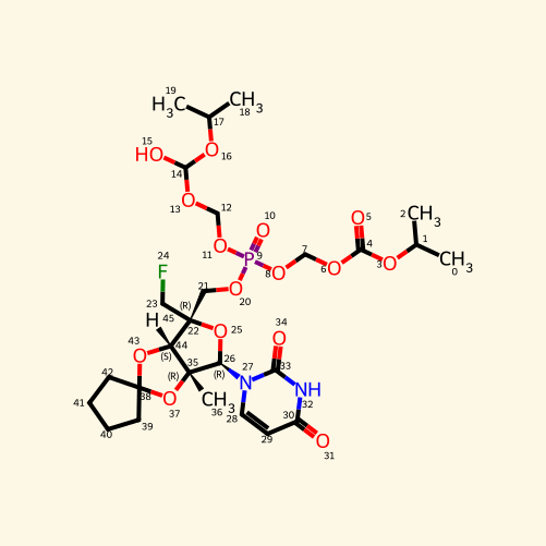 CC(C)OC(=O)OCOP(=O)(OCOC(O)OC(C)C)OC[C@@]1(CF)O[C@@H](n2ccc(=O)[nH]c2=O)[C@]2(C)OC3(CCCC3)O[C@H]12